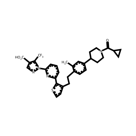 Cc1cc(C2CCN(C(=O)C3CC3)CC2)ccc1CCc1ccsc1-c1cccc(-n2ncc(C(=O)O)c2C(F)(F)F)n1